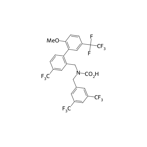 COc1ccc(C(F)(F)C(F)(F)F)cc1-c1ccc(C(F)(F)F)cc1CN(Cc1cc(C(F)(F)F)cc(C(F)(F)F)c1)C(=O)O